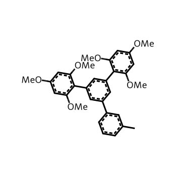 COc1cc(OC)c(-c2cc(-c3cccc(C)c3)cc(-c3c(OC)cc(OC)cc3OC)c2)c(OC)c1